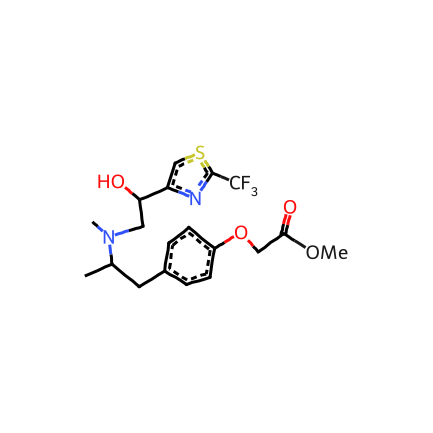 COC(=O)COc1ccc(CC(C)N(C)CC(O)c2csc(C(F)(F)F)n2)cc1